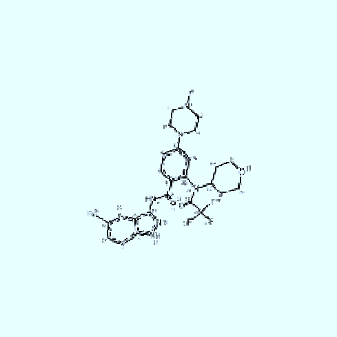 CN1CCN(c2ccc(C(=O)Nc3n[nH]c4ccc(Br)nc34)c(N(C(=O)C(F)(F)F)C3CCOCC3)c2)CC1